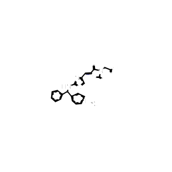 O.O=C([O-])CN1C(=O)/C(=C/c2csc(NC(c3ccccc3)c3ccccc3)n2)SC1=S.[Na+]